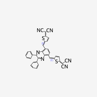 N#CC(C#N)=c1cc/c(=C\c2ccc(/C=c3\ccc(=C(C#N)C#N)s3)c3nc(-c4ccccc4)c(-c4ccccc4)nc23)s1